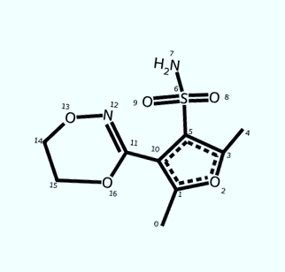 Cc1oc(C)c(S(N)(=O)=O)c1C1=NOCCO1